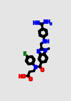 Cn1c(CNc2ccc(C(=N)N)cc2)nc2cc(C(=O)N(CCC(=O)O)c3ccc(F)cc3)ccc21